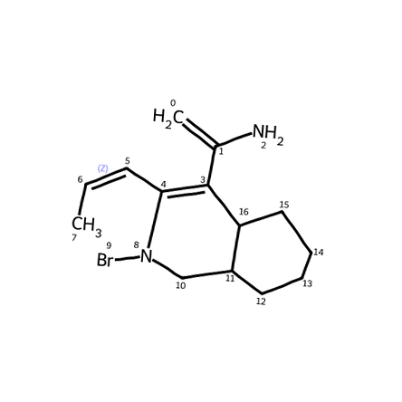 C=C(N)C1=C(/C=C\C)N(Br)CC2CCCCC12